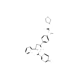 CN(C(=O)OC1CCCC1)c1ccc(C2=NN(C(=O)c3ccc(Br)cc3)C(c3ccccn3)C2)cc1